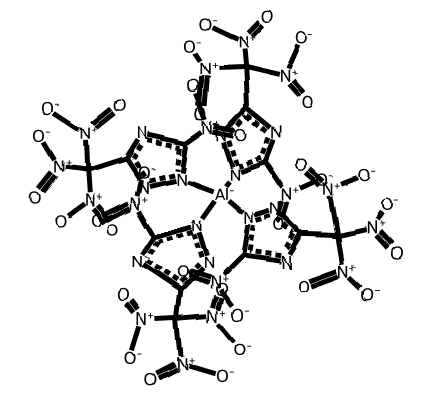 O=[N+]([O-])c1nc(C([N+](=O)[O-])([N+](=O)[O-])[N+](=O)[O-])n[n]1[Al-]([n]1nc(C([N+](=O)[O-])([N+](=O)[O-])[N+](=O)[O-])nc1[N+](=O)[O-])([n]1nc(C([N+](=O)[O-])([N+](=O)[O-])[N+](=O)[O-])nc1[N+](=O)[O-])[n]1nc(C([N+](=O)[O-])([N+](=O)[O-])[N+](=O)[O-])nc1[N+](=O)[O-]